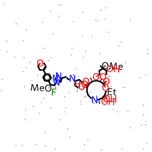 CC[C@H]1OC(=O)[C@H](C)[C@@H](O[C@H]2C[C@@](C)(OC)[C@@H](O)[C@H](C)O2)[C@H](C)[C@@H](O[C@H]2C[C@@H](N(C)CCc3cn([C@H](CF)[C@H](OC)c4ccc(C5=CCOCC5)cc4)nn3)C[C@@H](C)O2)[C@](C)(O)C[C@@H](C)CN(C)[C@H](C)[C@@H](O)[C@]1(C)O